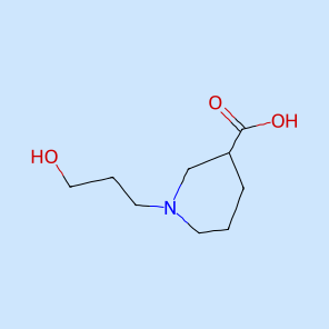 O=C(O)C1CCCN(CCCO)C1